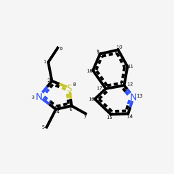 CCc1nc(C)c(C)s1.c1ccc2ncccc2c1